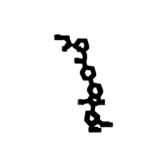 COc1ccc(-c2[nH]c3ccc(C4CCN(C(=O)CN5CCC[C@@H](C(=O)OC(C)(C)C)C5)CC4)cc3c2C(C)C)cc1OC